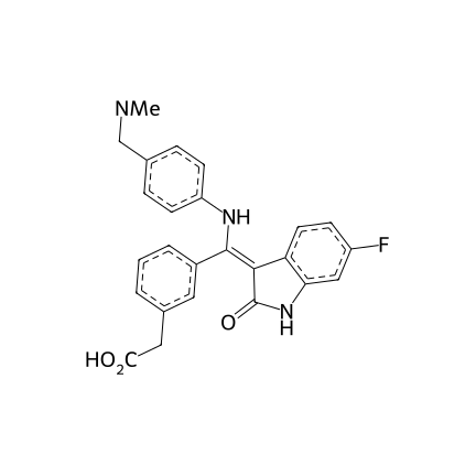 CNCc1ccc(NC(=C2C(=O)Nc3cc(F)ccc32)c2cccc(CC(=O)O)c2)cc1